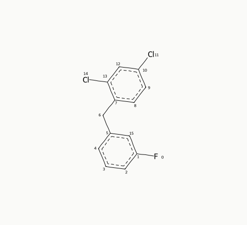 Fc1cccc(Cc2ccc(Cl)cc2Cl)c1